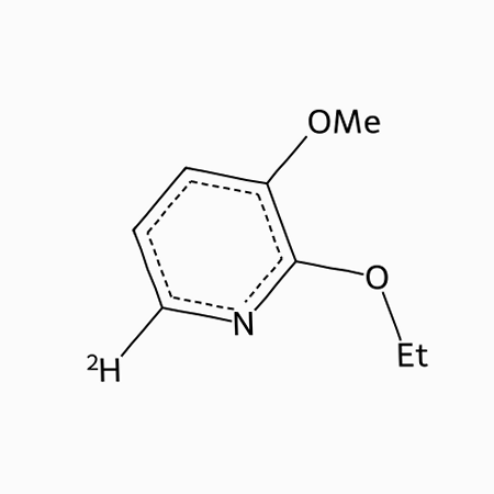 [2H]c1ccc(OC)c(OCC)n1